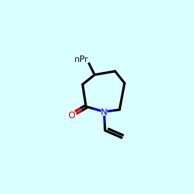 C=CN1CCCC(CCC)CC1=O